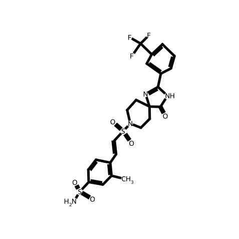 Cc1cc(S(N)(=O)=O)ccc1C=CS(=O)(=O)N1CCC2(CC1)N=C(c1cccc(C(F)(F)F)c1)NC2=O